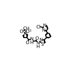 CS(=O)(=O)n1ccc(C(=O)NCC(=O)Nc2nc(-c3cccc(-c4ccnc(Cl)n4)c3)cs2)c1